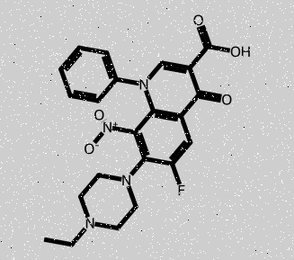 CCN1CCN(c2c(F)cc3c(=O)c(C(=O)O)cn(-c4ccccc4)c3c2[N+](=O)[O-])CC1